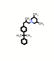 CC(Cc1ccc(C(C)(C)c2ccccc2)cc1)CN1CC(C)CC(C)C1